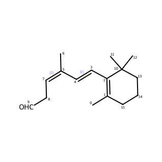 CC1=C(/C=C/C(C)=C\CC=O)C(C)(C)CCC1